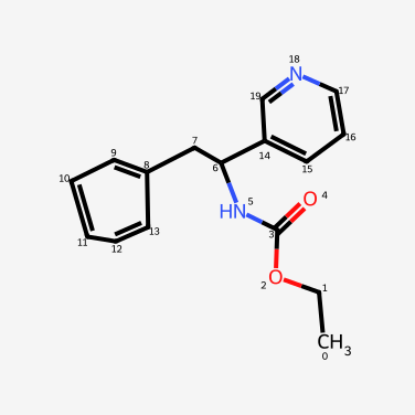 CCOC(=O)NC(Cc1ccccc1)c1cccnc1